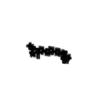 CC(C)(C)OC(=O)N1CCC[C@H]1c1nc2ccc(-c3ccc4cc(-c5ccc(-c6cnc(C7CCCN7C(=O)O)[nH]6)cc5)ccc4c3)cc2[nH]1